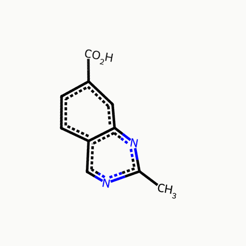 Cc1ncc2ccc(C(=O)O)cc2n1